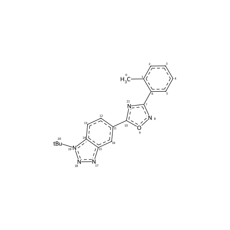 Cc1ccccc1-c1noc(-c2ccc3c(c2)nnn3C(C)(C)C)n1